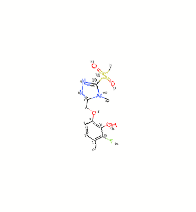 Cc1ccc(OCc2nnc(S(C)(=O)=O)n2C)c(O)c1F